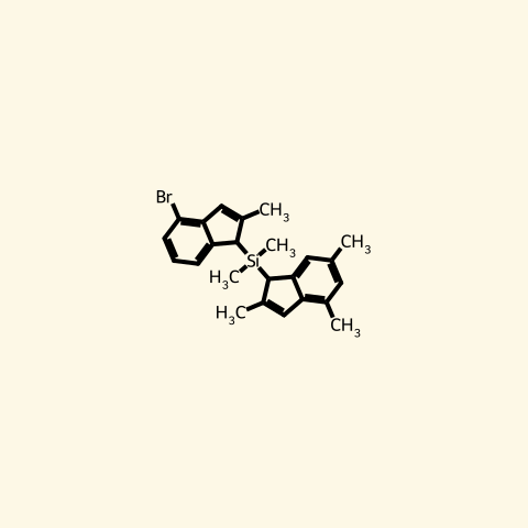 CC1=Cc2c(C)cc(C)cc2C1[Si](C)(C)C1C(C)=Cc2c(Br)cccc21